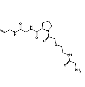 NCC(=O)NCCOCC(=O)N1CCCC1C(=O)NCC(=O)NCC=O